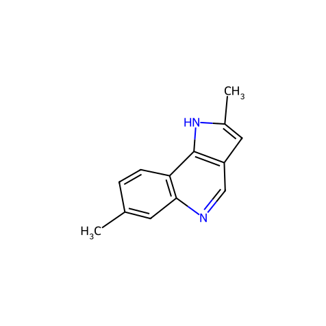 Cc1ccc2c(c1)ncc1cc(C)[nH]c12